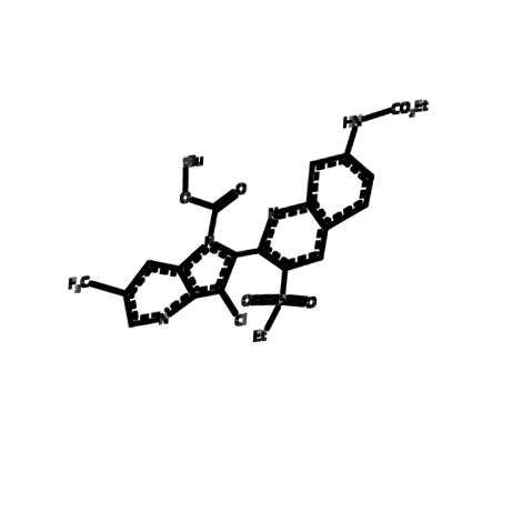 CCOC(=O)Nc1ccc2cc(S(=O)(=O)CC)c(-c3c(Cl)c4ncc(C(F)(F)F)cc4n3C(=O)OC(C)(C)C)nc2c1